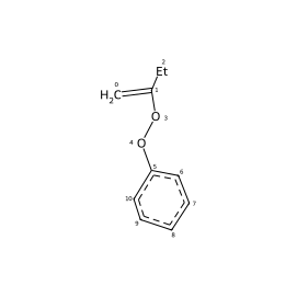 C=C(CC)OOc1ccccc1